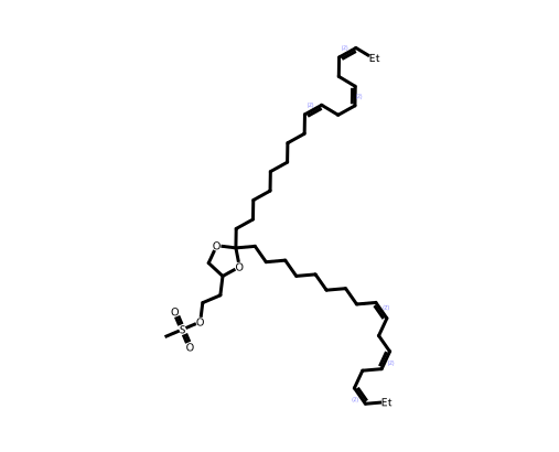 CC/C=C\C/C=C\C/C=C\CCCCCCCCC1(CCCCCCCC/C=C\C/C=C\C/C=C\CC)OCC(CCOS(C)(=O)=O)O1